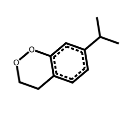 CC(C)c1ccc2c(c1)OOCC2